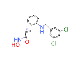 O=C(/C=C/c1ccccc1NCc1cc(Cl)cc(Cl)c1)NO